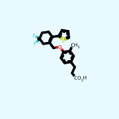 Cc1cc(CCC(=O)O)ccc1OCC1=C(c2cccs2)CCC(F)(F)C1